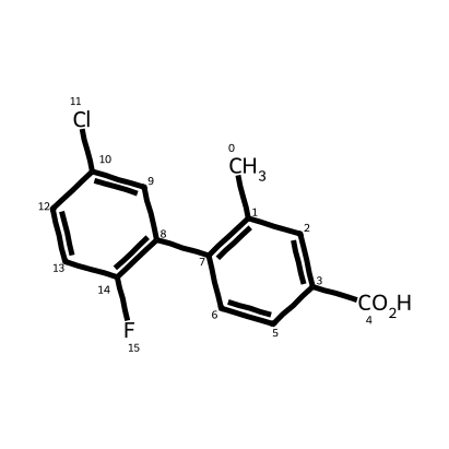 Cc1cc(C(=O)O)ccc1-c1cc(Cl)ccc1F